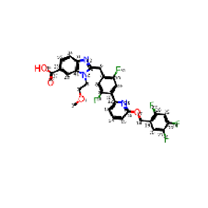 COCCn1c(Cc2cc(F)c(-c3cccc(OCc4cc(F)c(F)cc4F)n3)cc2F)nc2ccc(C(=O)O)cc21